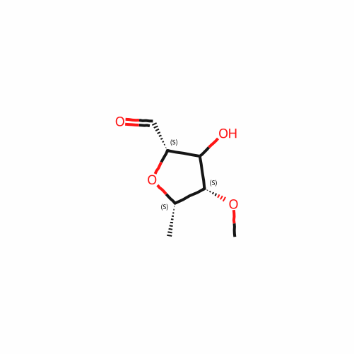 CO[C@H]1C(O)[C@@H](C=O)O[C@H]1C